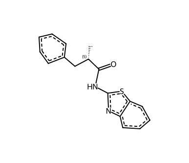 [CH2][C@@H](Cc1ccccc1)C(=O)Nc1nc2ccccc2s1